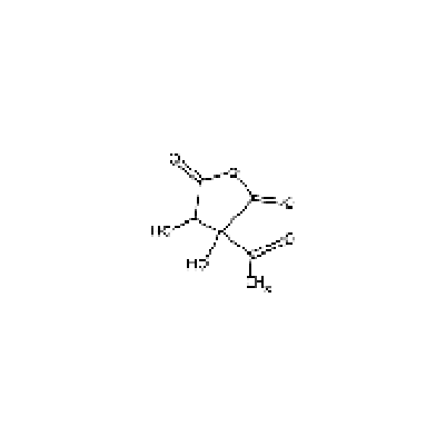 CC(=O)C1(O)C(=O)OC(=O)C1O